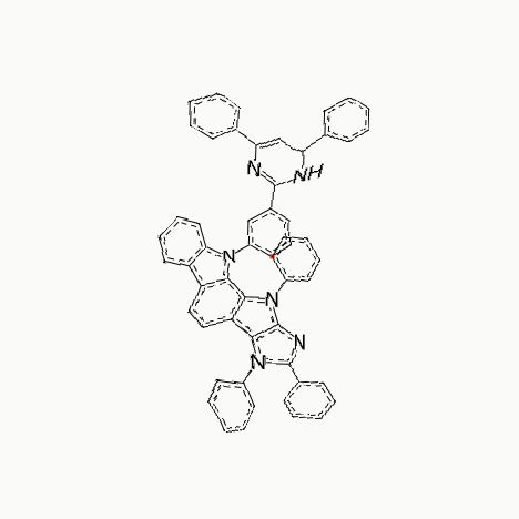 C1=C(c2ccccc2)N=C(c2cccc(-n3c4ccccc4c4ccc5c6c(nc(-c7ccccc7)n6-c6ccccc6)n(-c6ccccc6)c5c43)c2)NC1c1ccccc1